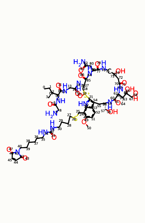 CC[C@H](C)[C@H](NC(=O)CN)C(=O)NCC(=O)N[C@H]1C[S+]([O-])c2[nH]c3c(CSCCCCNC(=O)NCCCCCCN4C(=O)C=CC4=O)c(OC)ccc3c2C[C@@H](CO)NC(=O)[C@H]([C@@H](C)[C@@H](O)CO)NC(=O)C[C@@H](O)CNC(=O)[C@H](CC(N)=O)NC1=O